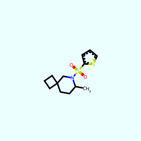 CC1CCC2(CCC2)CN1S(=O)(=O)c1cccs1